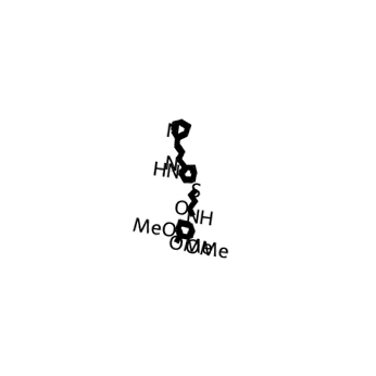 COc1cc(NC(=O)CCSc2ccc3c(/C=C/c4ccccn4)n[nH]c3c2)cc(OC)c1OC